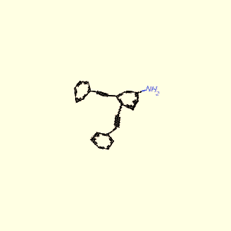 Nc1ccc(C#Cc2ccccc2)c(C#Cc2ccccc2)c1